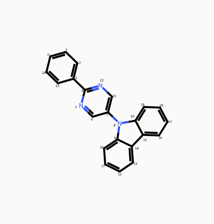 c1ccc(-c2ncc(-n3c4ccccc4c4ccccc43)cn2)cc1